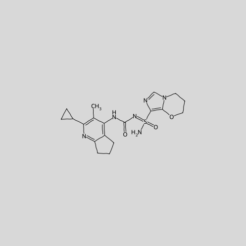 Cc1c(C2CC2)nc2c(c1NC(=O)N=S(N)(=O)c1ncn3c1OCCC3)CCC2